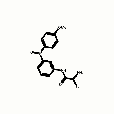 CCC(N)C(=O)Nc1cccc([S+]([O-])c2ccc(OC)cc2)c1